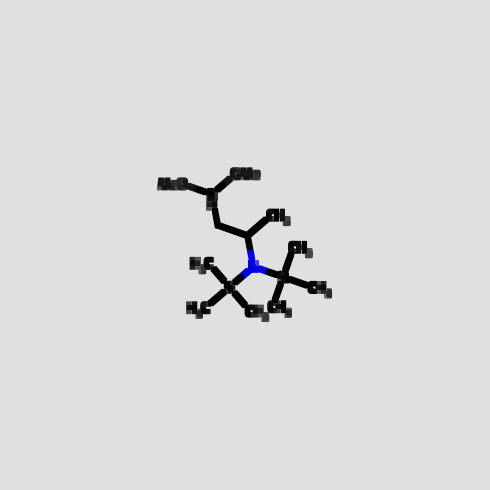 CO[SiH](CC(C)N([Si](C)(C)C)[Si](C)(C)C)OC